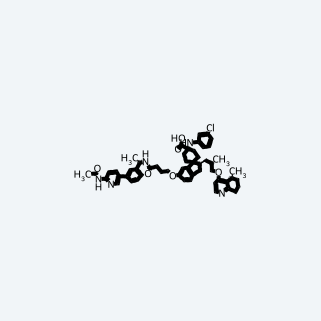 CC(=O)Nc1ccc(-c2cccc([C@H](C)NC(=O)CCCOc3ccc4c(c3)C3(CCC(Nc5cccc(Cl)c5)(C(=O)O)CC3)[C@@H](C[C@@H](C)COc3ccnc5c3[C@H](C)CCC5)C4)c2)cn1